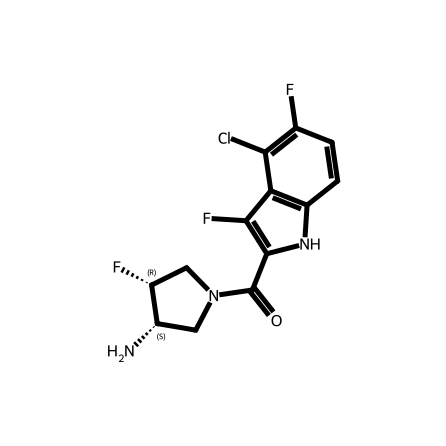 N[C@H]1CN(C(=O)c2[nH]c3ccc(F)c(Cl)c3c2F)C[C@H]1F